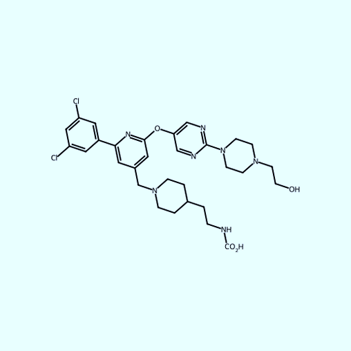 O=C(O)NCCC1CCN(Cc2cc(Oc3cnc(N4CCN(CCO)CC4)nc3)nc(-c3cc(Cl)cc(Cl)c3)c2)CC1